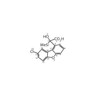 CSC(O)(C(=O)O)c1cccc2oc3ccc(Cl)cc3c12